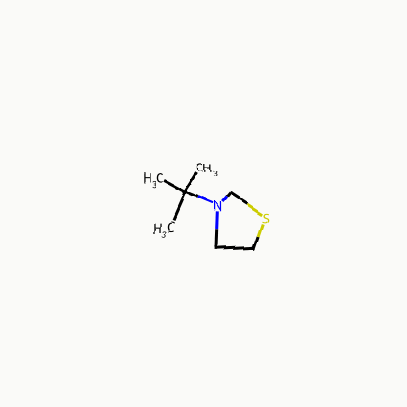 CC(C)(C)N1CCSC1